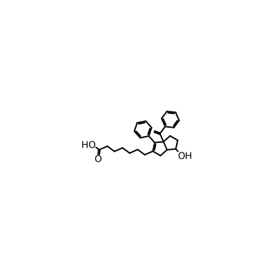 C=C(c1ccccc1)C12CCC(O)C1CC(CCCCCCC(=O)O)=C2c1ccccc1